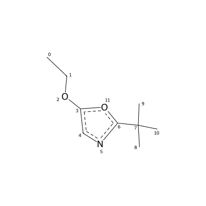 CCOc1cnc(C(C)(C)C)o1